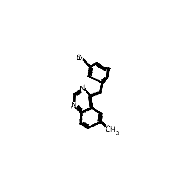 Cc1ccc2ncnc(Cc3cccc(Br)c3)c2c1